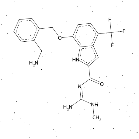 CNC(N)=NC(=O)c1cc2c(C(F)(F)F)ccc(OCc3ccccc3CN)c2[nH]1